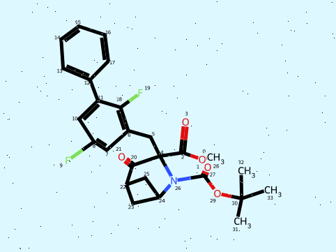 COC(=O)C1(Cc2cc(F)cc(-c3ccccc3)c2F)C(=O)C2CC(C2)N1C(=O)OC(C)(C)C